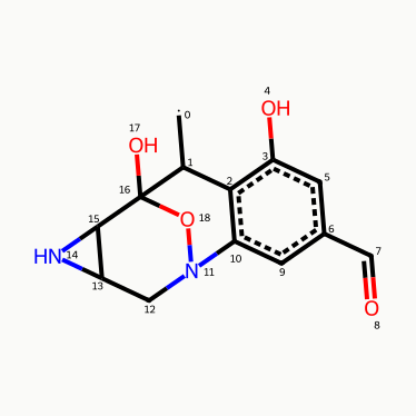 [CH2]C1c2c(O)cc(C=O)cc2N2CC3NC3C1(O)O2